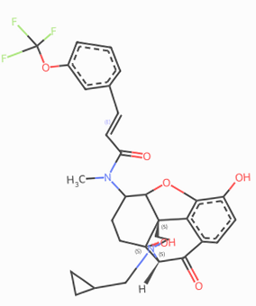 CN(C(=O)/C=C/c1cccc(OC(F)(F)F)c1)C1CC[C@@]2(O)[C@H]3C(=O)c4ccc(O)c5c4[C@@]2(CCN3CC2CC2)C1O5